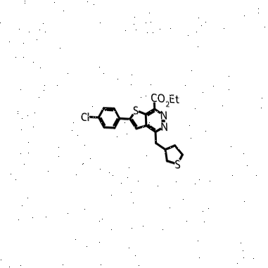 CCOC(=O)c1nnc(CC2CCSC2)c2cc(-c3ccc(Cl)cc3)sc12